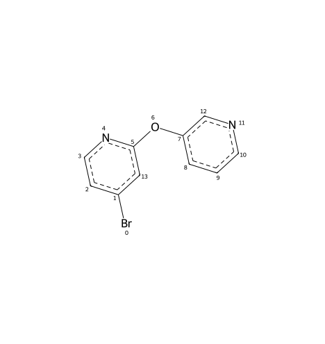 Brc1ccnc(Oc2cccnc2)c1